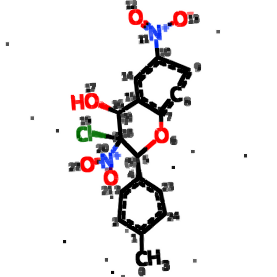 Cc1ccc([C@@H]2Oc3ccc([N+](=O)[O-])cc3[C@H](O)[C@@]2(Cl)[N+](=O)[O-])cc1